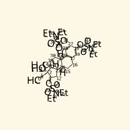 C#C[C@]1(O)[C@H](OS(=O)(=O)N(CC)CC)C[C@H]2[C@H]3CCc4cc(OS(=O)(=O)N(CC)CC)cc(OS(=O)(=O)N(CC)CC)c4[C@H]3CC[C@@]21C